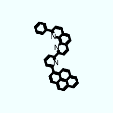 c1ccc(-c2ccc3ccc4ccc(-c5cccc(-c6ccc7ccc8cccc9ccc6c7c89)n5)nc4c3n2)cc1